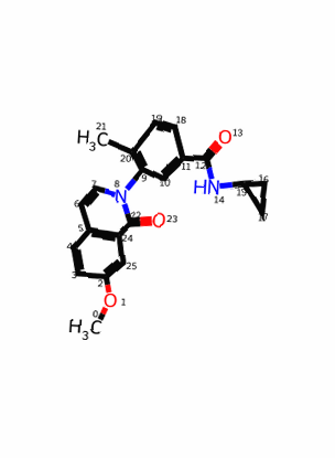 COc1ccc2ccn(-c3cc(C(=O)NC4CC4)ccc3C)c(=O)c2c1